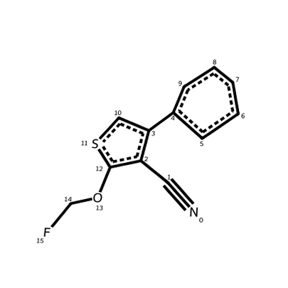 N#Cc1c(-c2ccccc2)csc1OCF